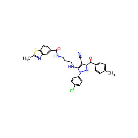 Cc1ccc(C(=O)c2nn(-c3ccc(Cl)cc3)c(NCCCNC(=O)c3ccc4sc(C)nc4c3)c2C#N)cc1